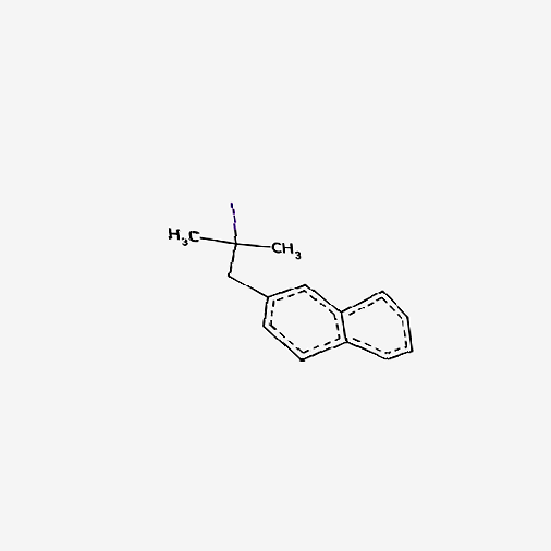 CC(C)(I)Cc1ccc2ccccc2c1